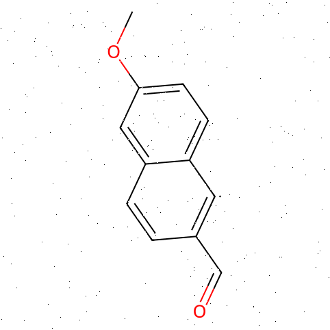 COc1ccc2[c]c(C=O)ccc2c1